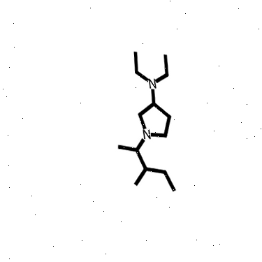 CCC(C)C(C)N1CCC(N(CC)CC)C1